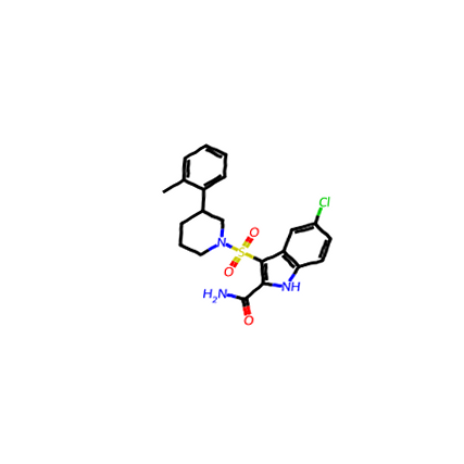 Cc1ccccc1C1CCCN(S(=O)(=O)c2c(C(N)=O)[nH]c3ccc(Cl)cc23)C1